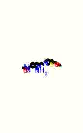 CCOCc1cc2c(s1)CN(CCc1cc3ccc(-c4noc(C)n4)cc3c(N)n1)CC2